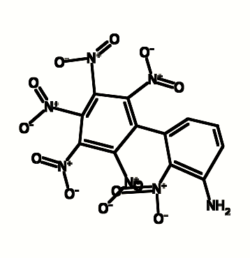 Nc1cccc(-c2c([N+](=O)[O-])c([N+](=O)[O-])c([N+](=O)[O-])c([N+](=O)[O-])c2[N+](=O)[O-])c1[N+](=O)[O-]